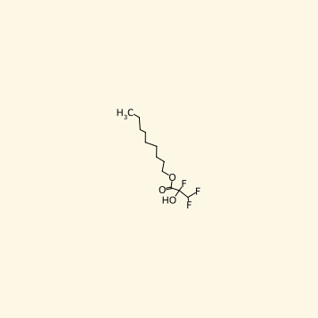 CCCCCCCCCOC(=O)C(O)(F)C(F)F